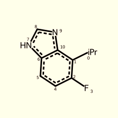 CC(C)c1c(F)ccc2[nH]cnc12